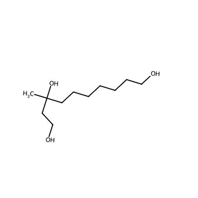 CC(O)(CCO)CCCCCCCO